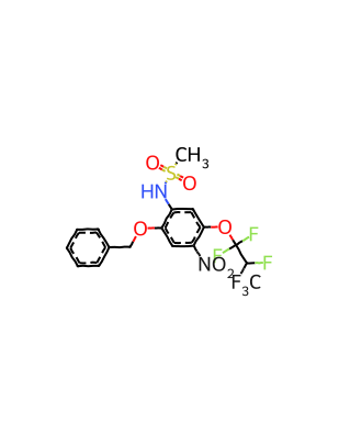 CS(=O)(=O)Nc1cc(OC(F)(F)C(F)C(F)(F)F)c([N+](=O)[O-])cc1OCc1ccccc1